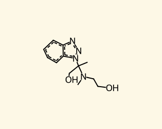 CN(CCO)C(C)(CO)n1nnc2ccccc21